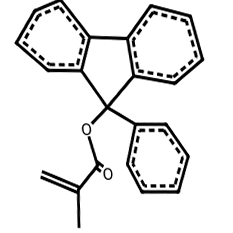 C=C(C)C(=O)OC1(c2ccccc2)c2ccccc2-c2ccccc21